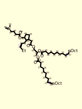 CC/C=C\CC1C(CC(=O)OCC(COC(=O)CCCCCCC/C=C\CCCCCCCC)OC(=O)CCCCCCC/C=C\CCCCCCCC)CCC1OC(=O)CCCN(C)C